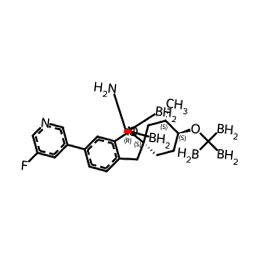 BC(B)(B)O[C@H]1CC[C@@]2(Cc3ccc(-c4cncc(F)c4)cc3[C@]23N=C(N)OC3(B)B)C[C@@H]1C